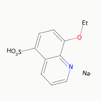 CCOc1ccc(S(=O)(=O)O)c2cccnc12.[Na]